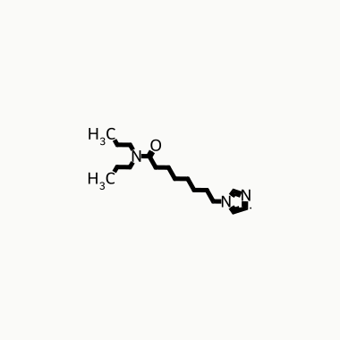 CCCN(CCC)C(=O)CCCCCCCn1c[c]nc1